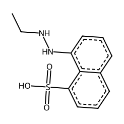 CCNNc1cccc2cccc(S(=O)(=O)O)c12